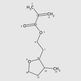 C=C(C)C(=O)OCCC1OCCC1C